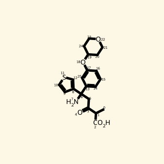 CC(C(=O)O)C(=O)CC(N)(c1ccsc1)c1cccc(OC2CCOCC2)c1